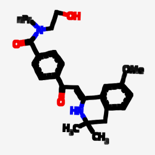 CCCN(CCO)C(=O)c1ccc(C(=O)C=C2NC(C)(C)Cc3ccc(OC)cc32)cc1